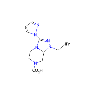 CC(C)CN1N=C(n2cccn2)N2CCN(C(=O)O)CC12